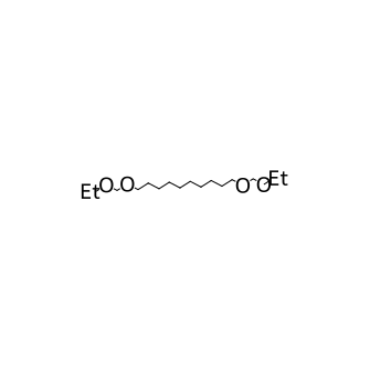 CCOCOCCCCCCCCCCOCOCC